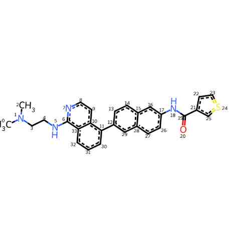 CN(C)CCNc1nccc2c(-c3ccc4cc(NC(=O)c5ccsc5)ccc4c3)cccc12